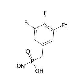 CCc1cc(CP(=O)(O)N=O)cc(F)c1F